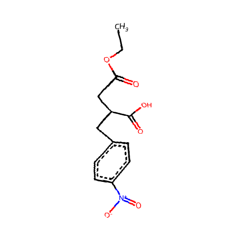 CCOC(=O)CC(Cc1ccc([N+](=O)[O-])cc1)C(=O)O